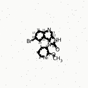 COc1ncccc1-n1c(=O)[nH]c2cnc3ccc(Br)cc3c21